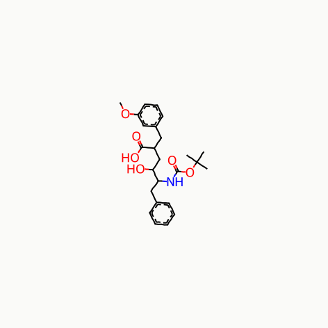 COc1cccc(CC(CC(O)C(Cc2ccccc2)NC(=O)OC(C)(C)C)C(=O)O)c1